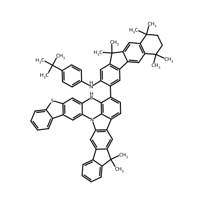 CC(C)(C)c1ccc(Nc2cc3c(cc2-c2ccc4c5cc6c(cc5n5c4c2Bc2cc4sc7ccccc7c4cc2-5)-c2ccccc2C6(C)C)-c2cc4c(cc2C3(C)C)C(C)(C)CCC4(C)C)cc1